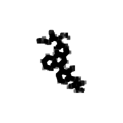 CCCS(=O)(=O)Nc1nccc(C2=Cc3cnc(N(C)C(=O)OC(C)(C)C)nc3N3CCCN=C23)c1Cl